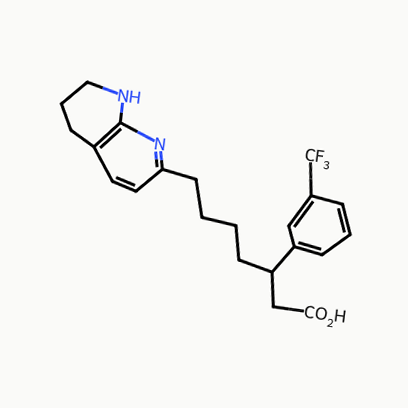 O=C(O)CC(CCCCc1ccc2c(n1)NCCC2)c1cccc(C(F)(F)F)c1